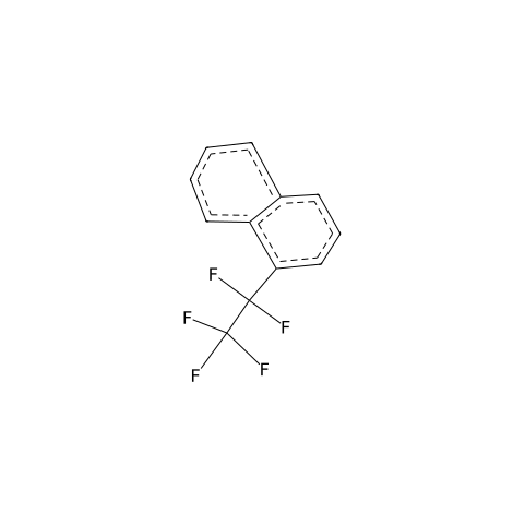 FC(F)(F)C(F)(F)c1cccc2ccccc12